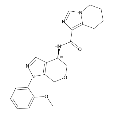 COc1ccccc1-n1ncc2c1COC[C@@H]2NC(=O)c1ncn2c1CCCC2